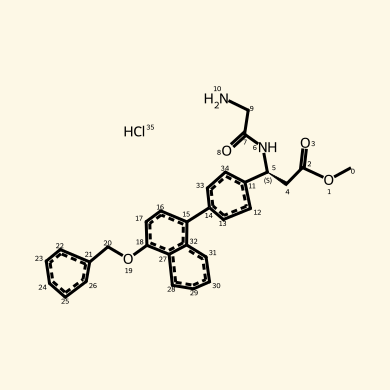 COC(=O)C[C@H](NC(=O)CN)c1ccc(-c2ccc(OCc3ccccc3)c3ccccc23)cc1.Cl